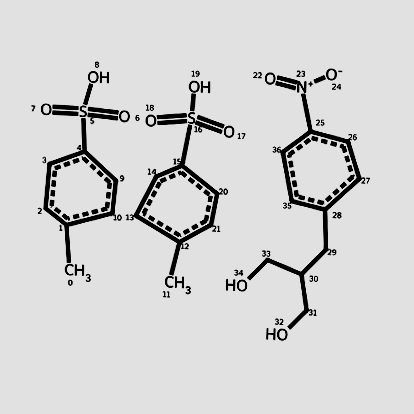 Cc1ccc(S(=O)(=O)O)cc1.Cc1ccc(S(=O)(=O)O)cc1.O=[N+]([O-])c1ccc(CC(CO)CO)cc1